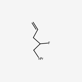 C=CC[C](F)CCCC